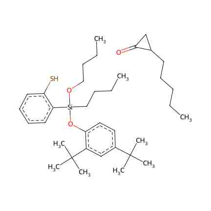 CCCCCC1CC1=O.CCCCO[Si](CCCC)(Oc1ccc(C(C)(C)C)cc1C(C)(C)C)c1ccccc1S